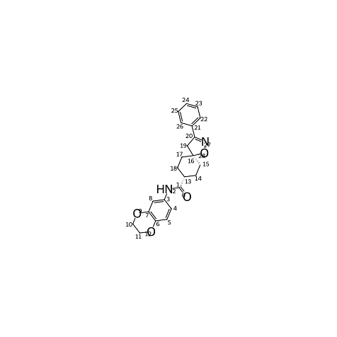 O=C(Nc1ccc2c(c1)OCCO2)[C@H]1CC[C@]2(CC1)CC(c1ccccc1)=NO2